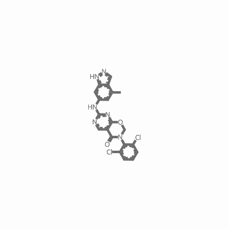 Cc1cc(Nc2ncc3c(n2)OCN(c2c(Cl)cccc2Cl)C3=O)cc2[nH]ncc12